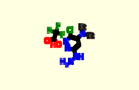 CCN(CC)c1cc(NN)nnc1Cl.O=C(O)C(F)(F)F